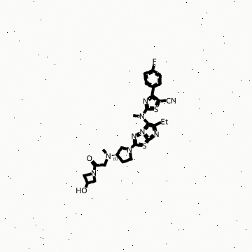 CCc1nc2sc(N3CC[C@H](N(C)CC(=O)N4CC(O)C4)C3)nn2c1N(C)c1nc(-c2ccc(F)cc2)c(C#N)s1